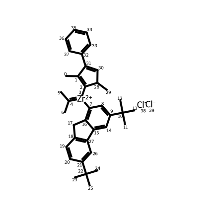 CC1=[C]([Zr+2](=[C](C)C)[c]2cc(C(C)(C)C)cc3c2Cc2ccc(C(C)(C)C)cc2-3)C(C)C=C1c1ccccc1.[Cl-].[Cl-]